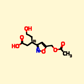 CC(=O)OCc1cc([C@H](CCO)CC(=O)O)no1